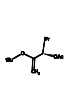 C=C(OC(C)(C)C)[C@@H](OC(C)=O)C(C)C